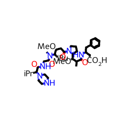 CCC(C)C(C(CC(=O)N1CCCC1C(OC)C(C)C(=O)NC(CC(=O)O)Cc1ccccc1)OC)N(C)C(=O)CNC(=O)C(C(C)C)N1CCNCC1